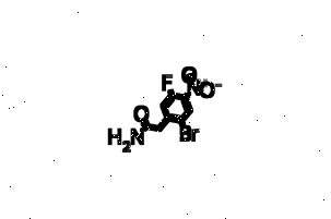 NC(=O)Cc1cc(F)c([N+](=O)[O-])cc1Br